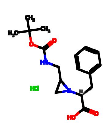 CC(C)(C)OC(=O)NCC1CN1[C@H](Cc1ccccc1)C(=O)O.Cl